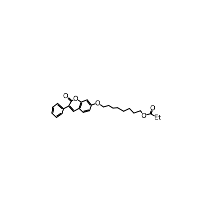 CCC(=O)OCCCCCCCCOc1ccc2cc(-c3ccccc3)c(=O)oc2c1